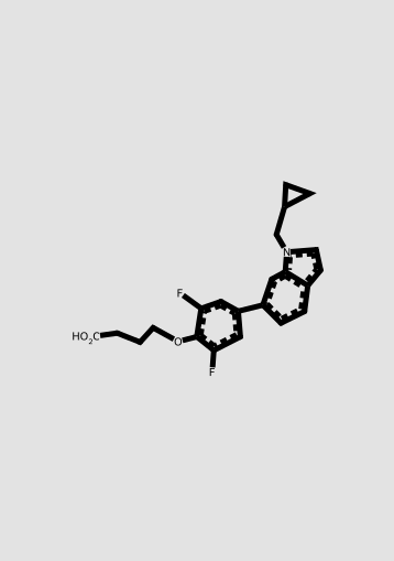 O=C(O)CCCOc1c(F)cc(-c2ccc3ccn(CC4CC4)c3c2)cc1F